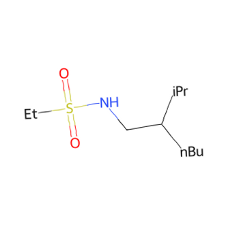 CCCCC(CNS(=O)(=O)CC)C(C)C